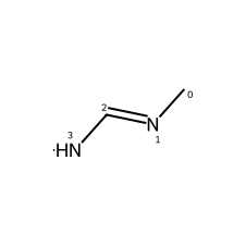 CN=C[NH]